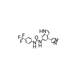 Cn1cc(-c2cc(NC(=O)Nc3ccc(C(F)(F)F)cc3)cc3[nH]ccc23)cn1